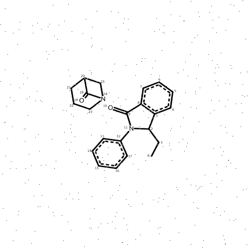 CCC1c2ccccc2C(=O)N1c1ccccc1.O=C1C2CCCN1C2